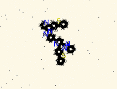 c1ccc2c(c1)nc1c3ccc(-c4ccc5nc6c7cccnc7c7cc8sc9ccccc9c8cc7n6c5c4)nc3c3ccc4c5ccccc5sc4c3n21